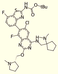 CN1CCC[C@H]1COc1nc(NCC2(N(C)C)CCCC2)c2cc(Cl)c(-c3ccc(F)c4sc(NC(=O)OC(C)(C)C)nc34)c(F)c2n1